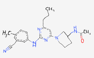 CCCc1cc(N2CCCC(NC(C)=O)C2)nc(Nc2ccc(C)c(C#N)c2)n1